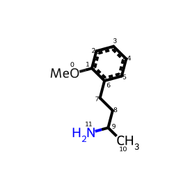 COc1ccccc1CCC(C)N